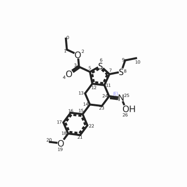 CCOC(=O)c1sc(SCC)c2c1CC(c1ccc(OC)cc1)C/C2=N\O